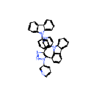 c1cncc(-c2nnn(-c3cccnc3)c2-c2cccc3c4ccccc4n(-c4cccc(-n5c6ccccc6c6ccccc65)c4)c23)c1